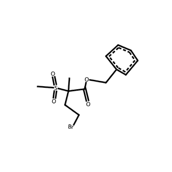 CC(CCBr)(C(=O)OCc1ccccc1)S(C)(=O)=O